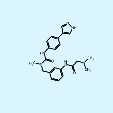 CN(C)CC(=O)Nc1cccc(CN(C)C(=O)Nc2ccc(-c3cn[nH]c3)cc2)c1